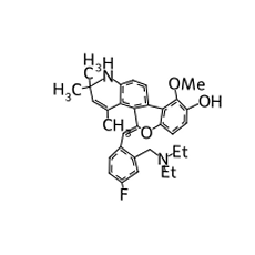 CCN(CC)Cc1cc(F)ccc1/C=C1\Oc2ccc(O)c(OC)c2-c2ccc3c(c21)C(C)=CC(C)(C)N3